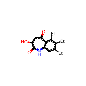 CCc1cc2[nH]c(=O)c(O)cc(=O)c2c(CC)c1CC